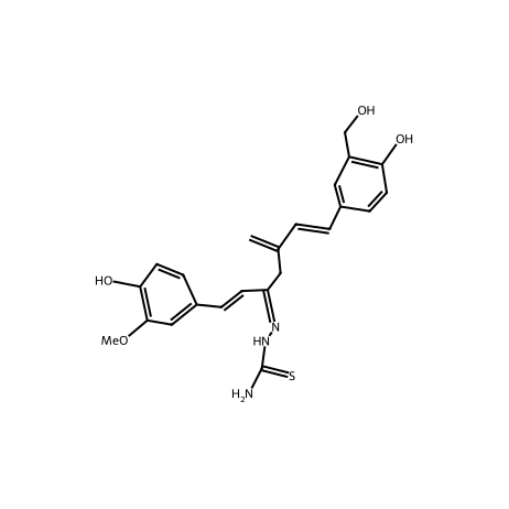 C=C(/C=C/c1ccc(O)c(CO)c1)CC(/C=C/c1ccc(O)c(OC)c1)=N/NC(N)=S